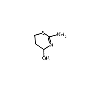 NC1=NC(O)CCS1